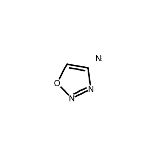 [N].c1conn1